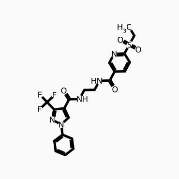 CCS(=O)(=O)c1ccc(C(=O)NCCNC(=O)c2cn(-c3ccccc3)nc2C(F)(F)F)cn1